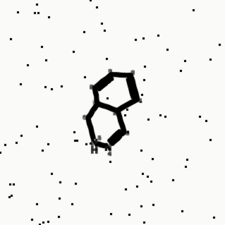 C1=CC2C=NNCC2C=C1